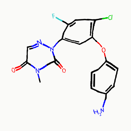 Cn1c(=O)cnn(-c2cc(Oc3ccc(N)cc3)c(Cl)cc2F)c1=O